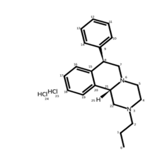 CCCN1CCN2C[C@H](c3ccccc3)c3ccccc3[C@H]2C1.Cl.Cl